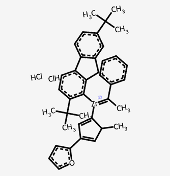 C/[C](c1ccccc1)=[Zr](\[C]1=CC(c2ccco2)=CC1C)[c]1c(C(C)(C)C)ccc2c1Cc1cc(C(C)(C)C)ccc1-2.Cl.Cl